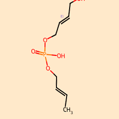 CC=CCOP(=O)(O)OC/C=C/CO